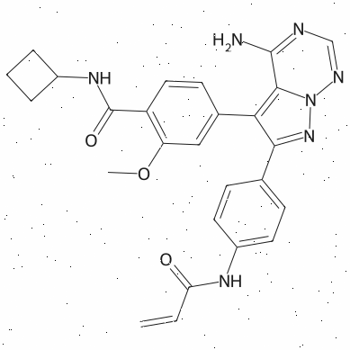 C=CC(=O)Nc1ccc(-c2nn3ncnc(N)c3c2-c2ccc(C(=O)NC3CCC3)c(OC)c2)cc1